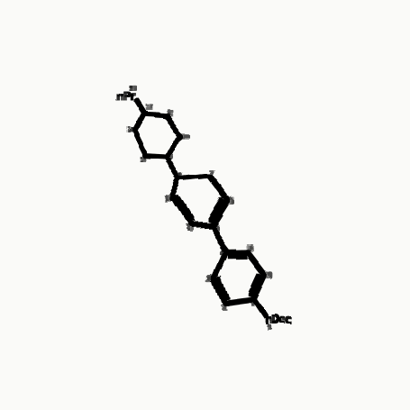 CCCCCCCCCCc1ccc(C2=CCC(C3CCC(CCC)CC3)C=C2)cc1